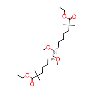 CCOC(=O)C(C)(C)CCCCC[C@@H](OC)[C@@H](CCCCC(C)(C)C(=O)OCC)OC